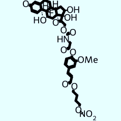 COc1cc(/C=C/C(=O)OCCCCO[N+](=O)[O-])ccc1OC(=O)CNC(=O)OCC(=O)[C@@]1(O)[C@H](O)C[C@H]2[C@@H]3CCC4=CC(=O)C=C[C@]4(C)[C@@]3(F)[C@@H](O)C[C@@]21C